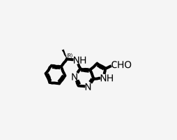 C[C@@H](Nc1ncnc2[nH]c(C=O)cc12)c1ccccc1